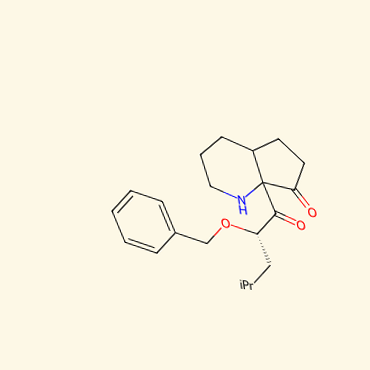 CC(C)C[C@H](OCc1ccccc1)C(=O)C12NCCCC1CCC2=O